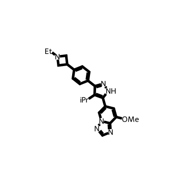 CCN1CC(c2ccc(-c3n[nH]c(-c4cc(OC)c5ncnn5c4)c3C(C)C)cc2)C1